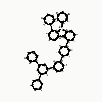 c1ccc(-c2cc(-c3ccccc3)cc(-c3cccc(-c4ccc(-c5cccc6c5c5cccc(-c7ccccc7)c5n6-c5ccccc5)cc4)c3)c2)cc1